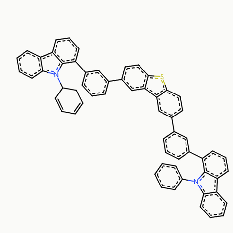 C1=CCC(n2c3ccccc3c3cccc(-c4cccc(-c5ccc6sc7ccc(-c8cccc(-c9cccc%10c%11ccccc%11n(-c%11ccccc%11)c9%10)c8)cc7c6c5)c4)c32)C=C1